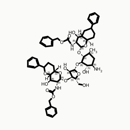 C[C@H]1C[C@@H](N)[C@H](O)[C@@H](O[C@@H]2O[C@H](CO)[C@@H](O[C@H]3O[C@H]4CCC(c5ccccc5)O[C@H]4[C@H](O)[C@H]3NC(=O)OCc3ccccc3)[C@H]2O)[C@@H]1O[C@H]1O[C@@H]2CCC(c3ccccc3)C[C@H]2[C@H](O)[C@H]1NC(=O)OCc1ccccc1